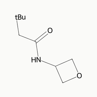 CC(C)(C)CC(=O)NC1COC1